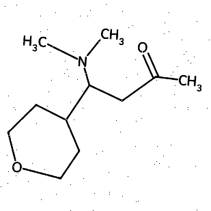 CC(=O)CC(C1CCOCC1)N(C)C